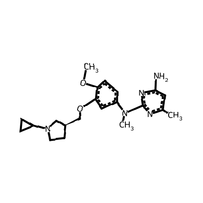 COc1ccc(N(C)c2nc(C)cc(N)n2)cc1OC[C@H]1CCN(C2CC2)C1